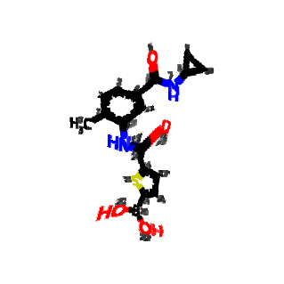 Cc1ccc(C(=O)NC2CC2)cc1NC(=O)c1ccc(B(O)O)s1